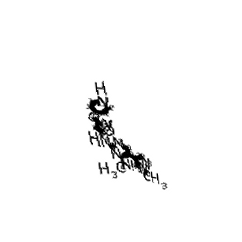 CNc1nc(Nc2cc(OC3CCNCC3)no2)ncc1-c1cnn(C)c1